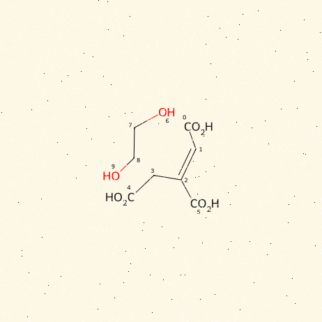 O=C(O)C=C(CC(=O)O)C(=O)O.OCCO